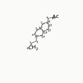 C=CCc1ccc2cc(CC(C)=O)ccc2c1